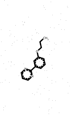 CCCOc1cccc(-c2ncccn2)c1